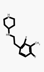 Cc1c(F)ccc(CCNC2CCNCC2)c1F